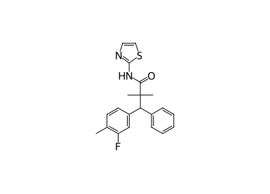 Cc1ccc(C(c2ccccc2)C(C)(C)C(=O)Nc2nccs2)cc1F